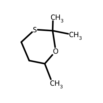 CC1CCSC(C)(C)O1